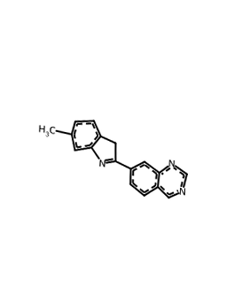 Cc1ccc2c(c1)N=C(c1ccc3cncnc3c1)C2